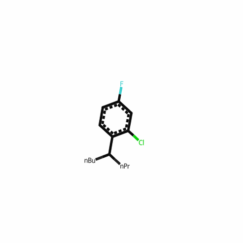 CCCCC(CCC)c1ccc(F)cc1Cl